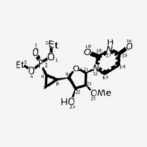 CCOP(=O)(OCC)C1CC1[C@H]1O[C@@H](n2ccc(=O)[nH]c2=O)[C@@H](OC)[C@H]1O